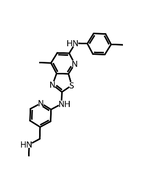 CNCc1ccnc(Nc2nc3c(C)cc(Nc4ccc(C)cc4)nc3s2)c1